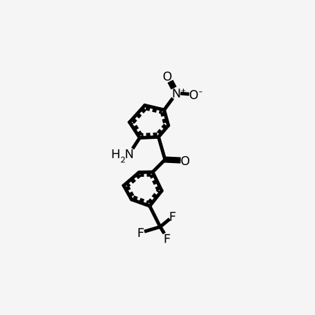 Nc1ccc([N+](=O)[O-])cc1C(=O)c1cccc(C(F)(F)F)c1